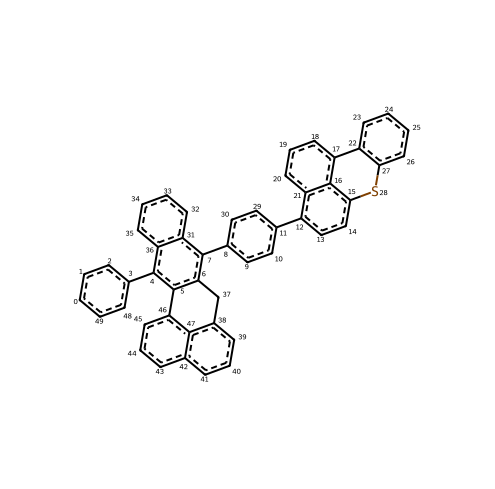 c1ccc(-c2c3c(c(-c4ccc(-c5ccc6c7c(cccc57)-c5ccccc5S6)cc4)c4ccccc24)Cc2cccc4cccc-3c24)cc1